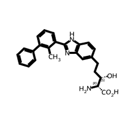 Cc1c(-c2ccccc2)cccc1-c1nc2cc(CC[C@H](O)[C@@H](N)C(=O)O)ccc2[nH]1